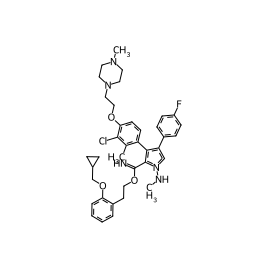 CNn1cc(-c2ccc(F)cc2)c(-c2ccc(OCCN3CCN(C)CC3)c(Cl)c2C)c1C(=N)OCCc1ccccc1OCC1CC1